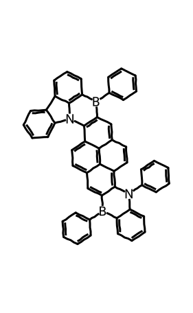 c1ccc(B2c3ccccc3N(c3ccccc3)c3c2cc2ccc4c5c(cc6ccc3c2c64)B(c2ccccc2)c2cccc3c4ccccc4n-5c23)cc1